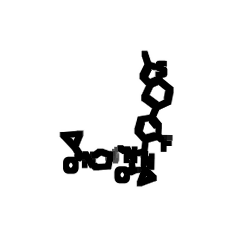 Cc1cc2cc(-c3ccc(C4=NC5(CC5)C(=O)N4C[C@@H]4CCN(C(=O)C5CC5)C4)c(F)c3)ccc2s1